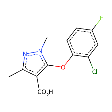 Cc1nn(C)c(Oc2ccc(F)cc2Cl)c1C(=O)O